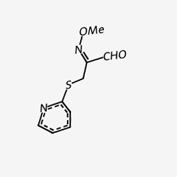 CON=C(C=O)CSc1ccccn1